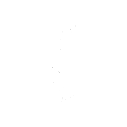 C[C@H]1CCC(c2ccc3nn(C4CCN(C)C(C)(C)C4)cc3c2)=NC1